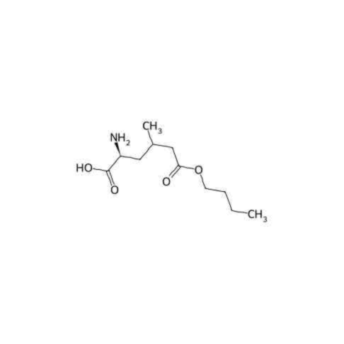 CCCCOC(=O)CC(C)C[C@H](N)C(=O)O